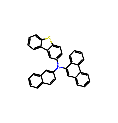 c1ccc2cc(N(c3ccc4sc5ccccc5c4c3)c3cc4ccccc4c4ccccc34)ccc2c1